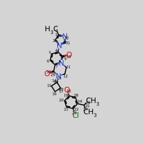 Cc1cn(-c2ccc3n(c2=O)CCN([C@@H]2CC[C@H]2Oc2ccc(Cl)c(C(C)C)c2)C3=O)cn1